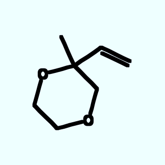 C=CC1(C)COCCO1